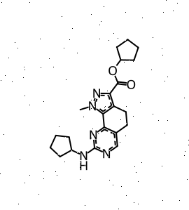 Cn1nc(C(=O)OC2CCCC2)c2c1-c1nc(NC3CCCC3)ncc1CC2